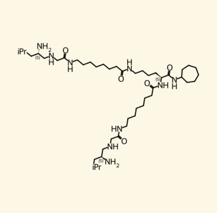 CC(C)C[C@H](N)CNCC(=O)NCCCCCCCC(=O)NCCCC[C@H](NC(=O)CCCCCCCNC(=O)CNC[C@@H](N)CC(C)C)C(=O)NC1CCCCCC1